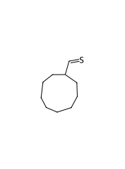 S=CC1CCCCCCCC1